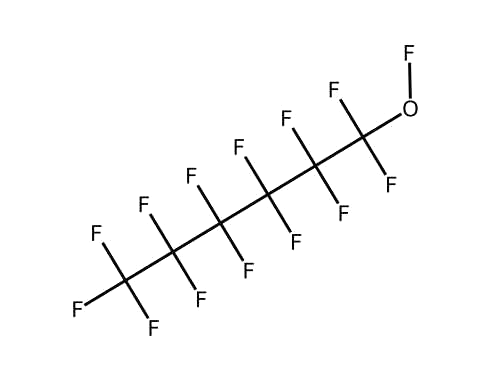 FOC(F)(F)C(F)(F)C(F)(F)C(F)(F)C(F)(F)C(F)(F)F